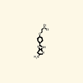 CCN(CC)CCOc1ccc(-c2nc3cc(N)cnc3[nH]2)cc1